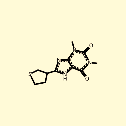 Cn1c(=O)c2[nH]c(C3CCSC3)nc2n(C)c1=O